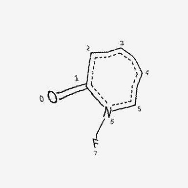 O=c1ccccn1F